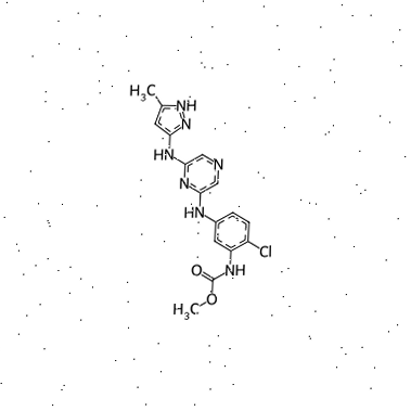 COC(=O)Nc1cc(Nc2cncc(Nc3cc(C)[nH]n3)n2)ccc1Cl